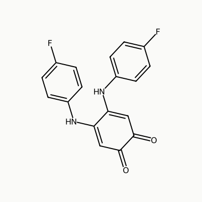 O=C1C=C(Nc2ccc(F)cc2)C(Nc2ccc(F)cc2)=CC1=O